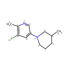 Cc1ncc(N2CCCC(C)C2)cc1F